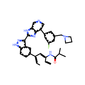 C=C/C(=C\C(=C/C)c1ccc2[nH]nc(-c3nc4c(-c5cc(F)cc(CN6CCC6)c5)cncc4[nH]3)c2c1)NC(=O)C(C)C